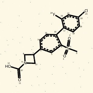 CS(=O)(=O)c1cc(C2CN(C(=O)O)C2)ccc1-c1ccc(Cl)cc1F